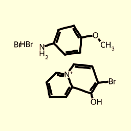 Br.COc1ccc(N)cc1.Oc1c(Br)cc[n+]2ccccc12.[Br-]